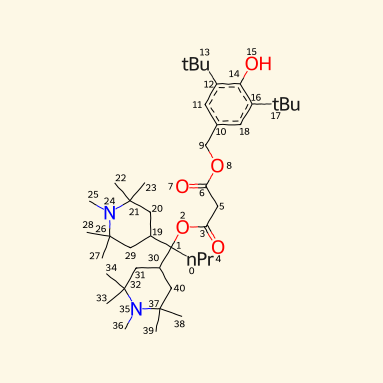 CCCC(OC(=O)CC(=O)OCc1cc(C(C)(C)C)c(O)c(C(C)(C)C)c1)(C1CC(C)(C)N(C)C(C)(C)C1)C1CC(C)(C)N(C)C(C)(C)C1